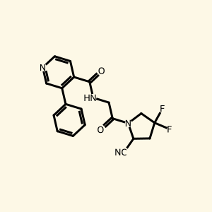 N#CC1CC(F)(F)CN1C(=O)CNC(=O)c1ccncc1-c1ccccc1